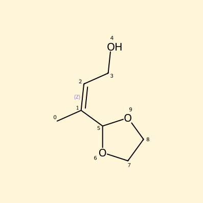 C/C(=C/CO)C1OCCO1